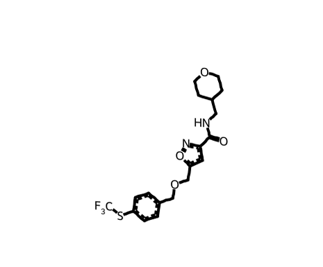 O=C(NCC1CCOCC1)c1cc(COCc2ccc(SC(F)(F)F)cc2)on1